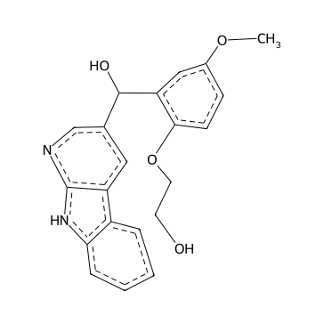 COc1ccc(OCCO)c(C(O)c2cnc3[nH]c4ccccc4c3c2)c1